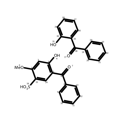 COc1cc(O)c(C(=O)c2ccccc2)cc1S(=O)(=O)O.O=C(c1ccccc1)c1ccccc1O